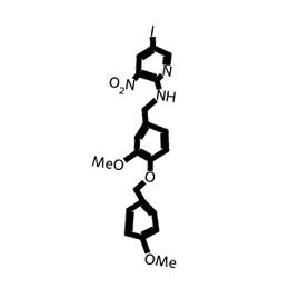 COc1ccc(COc2ccc(CNc3ncc(I)cc3[N+](=O)[O-])cc2OC)cc1